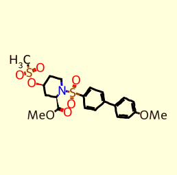 COC(=O)[C@H]1C[C@@H](OS(C)(=O)=O)CCN1S(=O)(=O)c1ccc(-c2ccc(OC)cc2)cc1